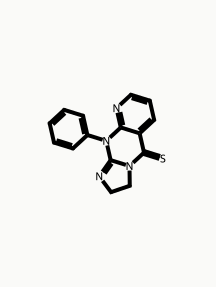 S=C1c2cccnc2N(c2ccccc2)C2=NCCN12